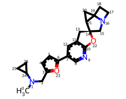 CN(Cc1ccc(-c2cnc3c(c2)C[C@@]2(CN4CCC45CC52)O3)o1)C1CC1